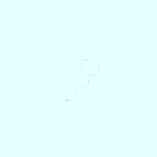 CCC(=O)OCCN1CCS(=O)(=O)CC1